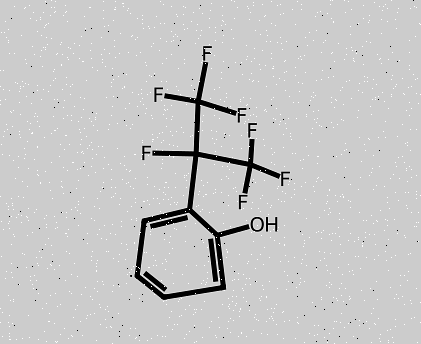 Oc1cc[c]cc1C(F)(C(F)(F)F)C(F)(F)F